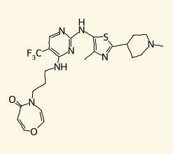 Cc1nc(C2CCN(C)CC2)sc1Nc1ncc(C(F)(F)F)c(NCCCN2C=COC=CC2=O)n1